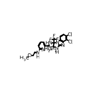 C=C(NC1(C(F)(F)F)C(=C)Nc2nc3c(Cl)c(Cl)ccc3n21)c1cccc(NCCOC)n1